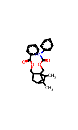 CC1C2CC(COC(=O)c3ccccc3)C(COC(=O)Nc3ccccc3)(C2)C1C